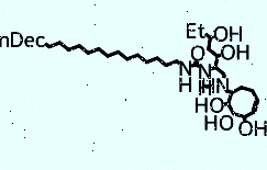 CCCCCCCCCCCCCCCCCCCCCCCCNC(=O)NC(CNC1CC/C=C\C(O)C(O)C1O)C(O)CC(O)CC